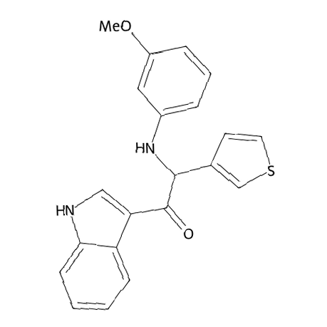 COc1cccc(NC(C(=O)c2c[nH]c3ccccc23)c2ccsc2)c1